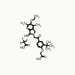 CCOc1c(C)nc2c(c1C)CN(CC(=O)c1ccc(OCC(=O)O)c(C(C)(C)C)c1)C2=N.O=C(O)C(F)(F)F